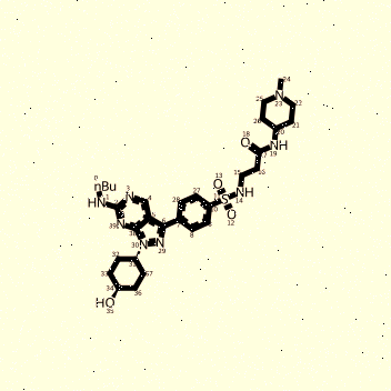 CCCCNc1ncc2c(-c3ccc(S(=O)(=O)NCCC(=O)NC4CCN(C)CC4)cc3)nn([C@H]3CC[C@H](O)CC3)c2n1